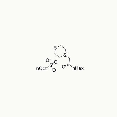 CCCCCCC(=O)C[S+]1CCSCC1.CCCCCCCCS(=O)(=O)[O-]